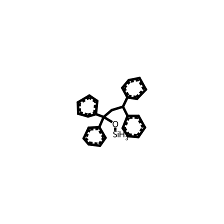 [SiH3]OC(CC(c1ccccc1)c1ccccc1)(c1ccccc1)c1ccccc1